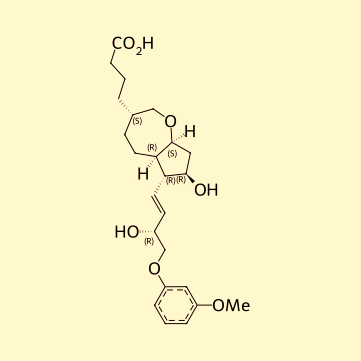 COc1cccc(OC[C@H](O)C=C[C@@H]2[C@H]3CC[C@H](CCCC(=O)O)CO[C@H]3C[C@H]2O)c1